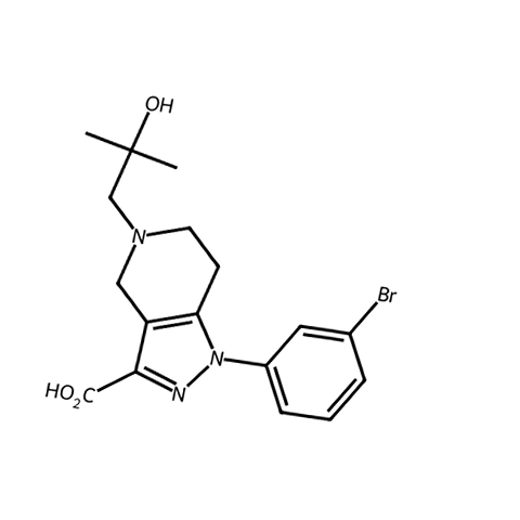 CC(C)(O)CN1CCc2c(c(C(=O)O)nn2-c2cccc(Br)c2)C1